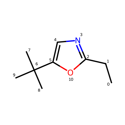 CCc1ncc(C(C)(C)C)o1